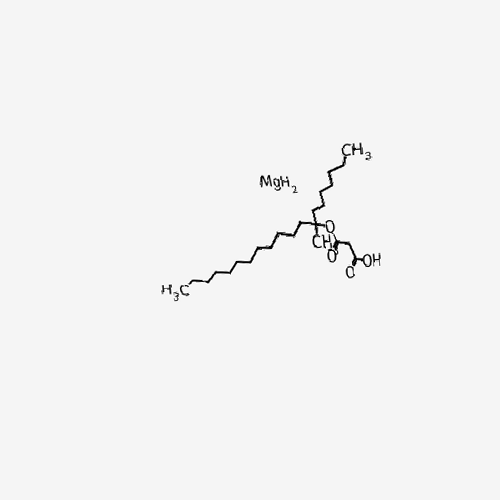 CCCCCCCCCCCCC(C)(CCCCCCC)OC(=O)CC(=O)O.[MgH2]